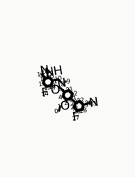 CCOc1cc(C(=O)N(C)Cc2cc(F)cc3cn[nH]c23)ccc1-c1cc(F)cc(C#N)c1